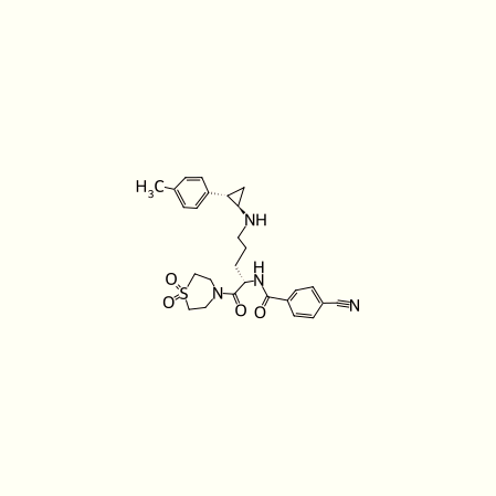 Cc1ccc([C@@H]2C[C@H]2NCCC[C@H](NC(=O)c2ccc(C#N)cc2)C(=O)N2CCS(=O)(=O)CC2)cc1